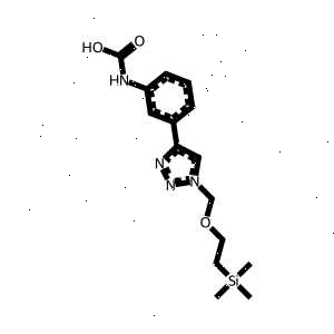 C[Si](C)(C)CCOCn1cc(-c2cccc(NC(=O)O)c2)nn1